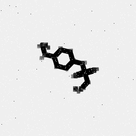 CCS(=O)(=O)OC1CCC(OC)CC1